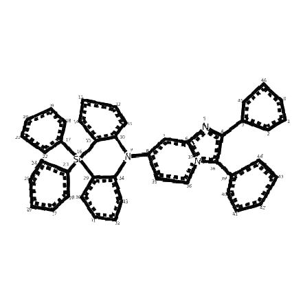 c1ccc(-c2nc3cc(N4c5ccccc5[Si](c5ccccc5)(c5ccccc5)c5ccccc54)ccn3c2-c2ccccc2)cc1